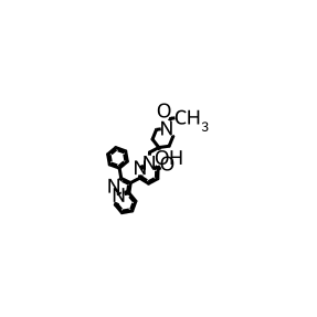 CC(=O)N1CCC(O)(Cn2nc(-c3c(-c4ccccc4)nn4ccccc34)ccc2=O)CC1